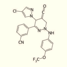 N#Cc1cccc(C2=NN(Nc3ccc(OC(F)(F)F)cc3)CC(=C=O)C2n2cc(Cl)cn2)c1